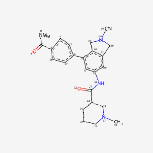 CNC(=O)c1ccc(-c2cc(NC(=O)C3CCCN(C)C3)cc3c2CN(C#N)C3)cc1